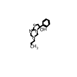 C=CCN1CN=C2SCC(O)(c3ccccc3)N2C1